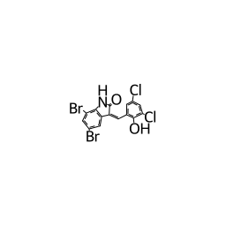 O=C1Nc2c(Br)cc(Br)cc2C1=Cc1cc(Cl)cc(Cl)c1O